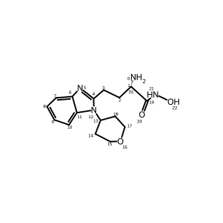 N[C@@H](CCc1nc2ccccc2n1C1CCOCC1)C(=O)NO